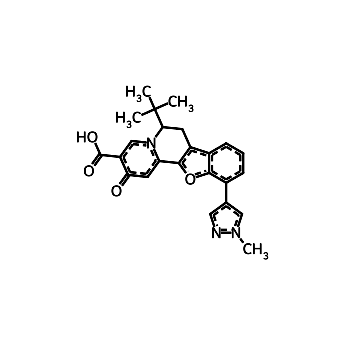 Cn1cc(-c2cccc3c4c(oc23)-c2cc(=O)c(C(=O)O)cn2C(C(C)(C)C)C4)cn1